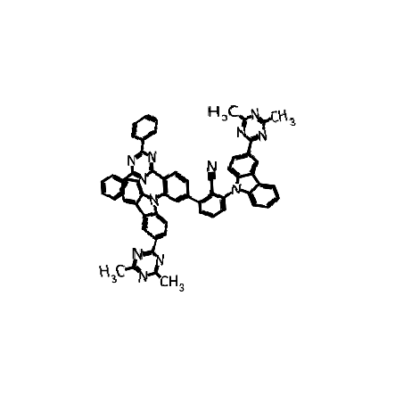 Cc1nc(C)nc(-c2ccc3c(c2)c2ccccc2n3-c2cc(-c3cccc(-n4c5ccccc5c5cc(-c6nc(C)nc(C)n6)ccc54)c3C#N)ccc2-c2nc(-c3ccccc3)nc(-c3ccccc3)n2)n1